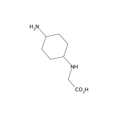 NC1CCC(NCC(=O)O)CC1